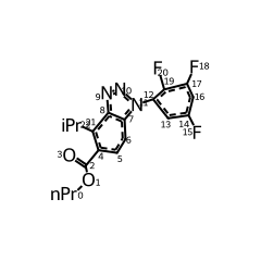 CCCOC(=O)c1ccc2c(nnn2-c2cc(F)cc(F)c2F)c1C(C)C